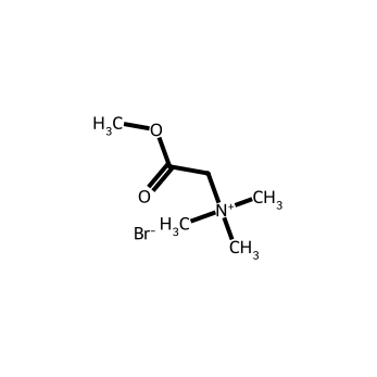 COC(=O)C[N+](C)(C)C.[Br-]